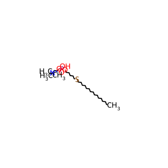 CCCCCCCCCCCCCCCCSCCCCCOP(=O)(O)OCC[N+](C)(C)C